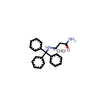 NC(=O)C[C@@H]([C]=O)NC(c1ccccc1)(c1ccccc1)c1ccccc1